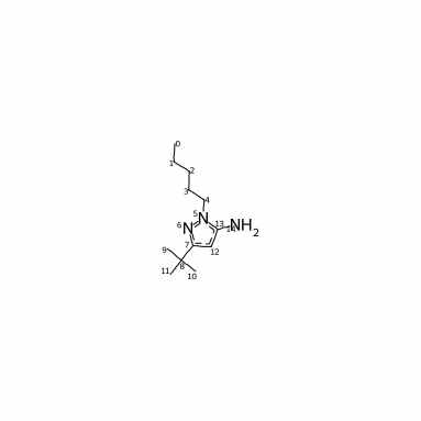 CCCCCn1nc(C(C)(C)C)cc1N